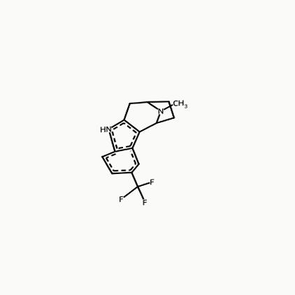 CN1C2CCC1c1c([nH]c3ccc(C(F)(F)F)cc13)C2